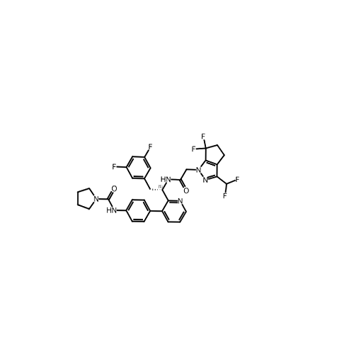 O=C(Cn1nc(C(F)F)c2c1C(F)(F)CC2)N[C@@H](Cc1cc(F)cc(F)c1)c1ncccc1-c1ccc(NC(=O)N2CCCC2)cc1